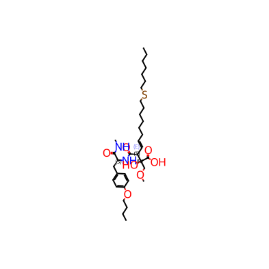 CCCCCCCSCCCCCC/C=C/[C@H](C(=O)N[C@@H](Cc1ccc(OCCCC)cc1)C(=O)NC)[C@@](O)(COC)C(=O)O